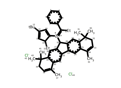 CC/[C](c1ccccc1)=[Zr+2](/[C]1=CC(C(C)(C)C)=CC1CC)[CH]1c2cc3c(cc2-c2cc4c(cc21)C(C)(C)CC=C4C)C(C)=CCC3(C)C.[Cl-].[Cl-]